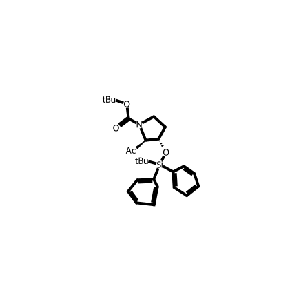 CC(=O)[C@@H]1[C@@H](O[Si](c2ccccc2)(c2ccccc2)C(C)(C)C)CCN1C(=O)OC(C)(C)C